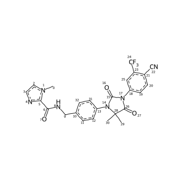 Cn1ccnc1C(=O)NCc1ccc(N2C(=O)N(c3ccc(C#N)c(C(F)(F)F)c3)C(=O)C2(C)C)cc1